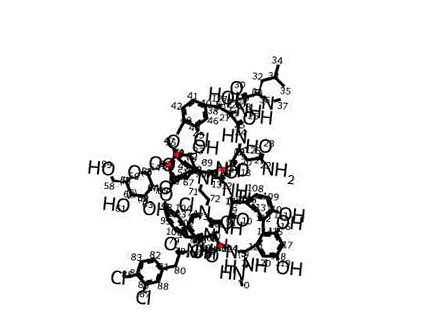 CNN[C@@H]1NC(=O)[C@H]2NC(=O)[C@H](NC(=O)[C@@H]3NC(=O)[C@H](CC(N)=O)NC(=O)[C@H](NC(=O)[C@@H](CC(C)C)NC)[C@H](O)c4ccc(c(Cl)c4)Oc4cc3cc(c4O[C@@H]3O[C@H](CO)[C@@H](O)[C@H](O)[C@H]3O[C@H]3C[C@](C)(NCCn4ccc(NC(=O)Cc5ccc(Cl)c(Cl)c5)nc4=O)[C@H](O)[C@H](C)O3)Oc3ccc(cc3Cl)[C@H]2O)c2ccc(O)c(c2)-c2c(O)cc(O)cc21